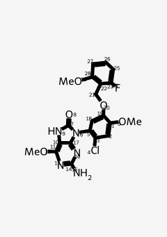 COc1cc(Cl)c(-n2c(=O)[nH]c3c(OC)nc(N)nc32)cc1OCc1c(F)cccc1OC